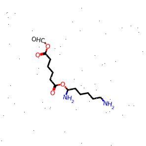 NCCCCCC(N)OC(=O)CCCCC(=O)OC=O